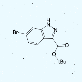 CC(C)(C)OC(=O)c1n[nH]c2cc(Br)ccc12